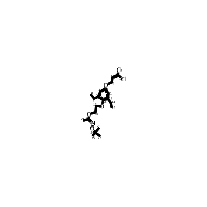 CCc1cc(OCC=C(Cl)Cl)cc(CC)c1OCCOC(C)=NOC(C)(C)C